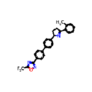 Cc1ccccc1C1=NC(c2ccc(-c3ccc(-c4noc(C(F)(F)F)n4)cc3)cc2)CC1